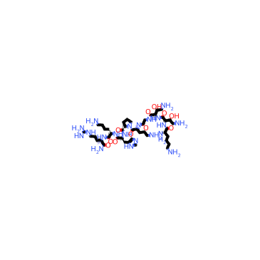 N=C(N)NCC/C=C(\NC(=O)[C@H](CCCCN)NC(=O)[C@H](Cc1cnc[nH]1)NC(=O)[C@@H]1CCCN1C(=O)/C(CCCN)=N/C(=O)CNC(=O)[C@@H](NC(=O)[C@@H](NC(=O)[C@@H](N)CCCCN)[C@@H](O)CN)[C@@H](O)CN)C(N)=O